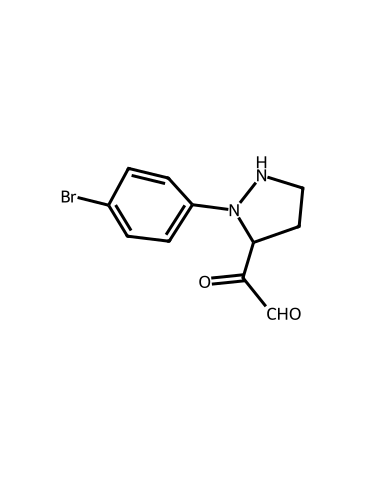 O=CC(=O)C1CCNN1c1ccc(Br)cc1